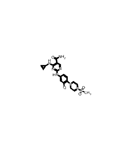 CS(=O)(=O)N1CCN(c2ccc(Nc3ncc(C(N)=O)c(NC4CC4)n3)cc2Cl)CC1